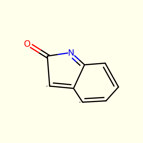 O=C1[C]=c2[c]cccc2=N1